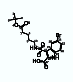 CC(C)(C)OC(=O)CCCCNS(=O)(=O)c1c(C(=O)O)[nH]c2ccc(Br)cc12